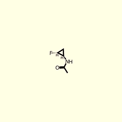 CC(=O)N[C@@H]1C[C@H]1F